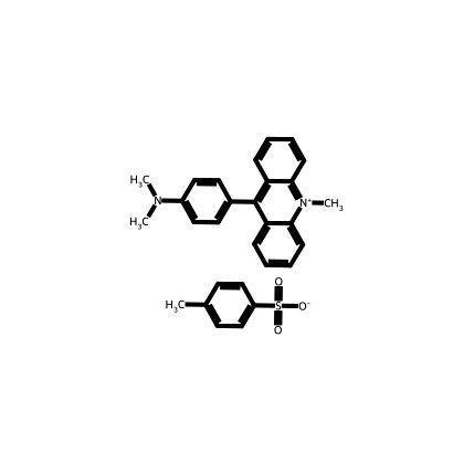 CN(C)c1ccc(-c2c3ccccc3[n+](C)c3ccccc23)cc1.Cc1ccc(S(=O)(=O)[O-])cc1